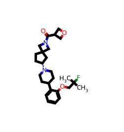 CC(C)(F)COc1ccccc1C1CCN([C@@H]2CCC3(C2)CN(C(=O)C2COC2)C3)CC1